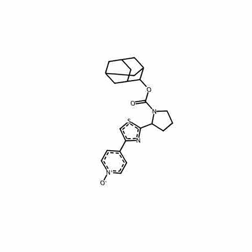 O=C(OC1C2CC3CC(C2)CC1C3)N1CCCC1c1nc(-c2cc[n+]([O-])cc2)cs1